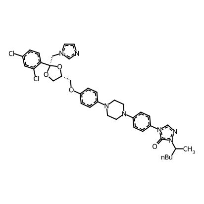 CCCCC(C)n1ncn(-c2ccc(N3CCN(c4ccc(OC[C@@H]5CO[C@@](Cn6ccnc6)(c6ccc(Cl)cc6Cl)O5)cc4)CC3)cc2)c1=O